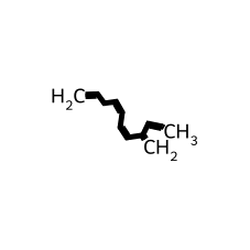 C=CC/C=C\C=C/C(=C)/C=C\C